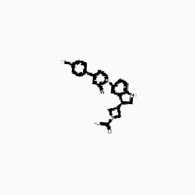 O=C(O)N1CC(C2CNc3ccc(-n4ccc(-c5ccc(Cl)cc5)cc4=O)cc32)C1